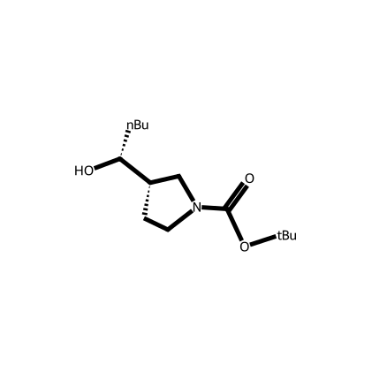 CCCC[C@@H](O)[C@H]1CCN(C(=O)OC(C)(C)C)C1